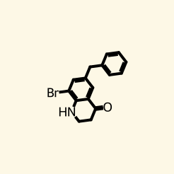 O=C1CCNc2c(Br)cc(Cc3ccccc3)cc21